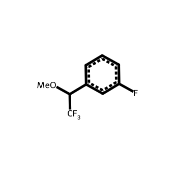 COC(c1cccc(F)c1)C(F)(F)F